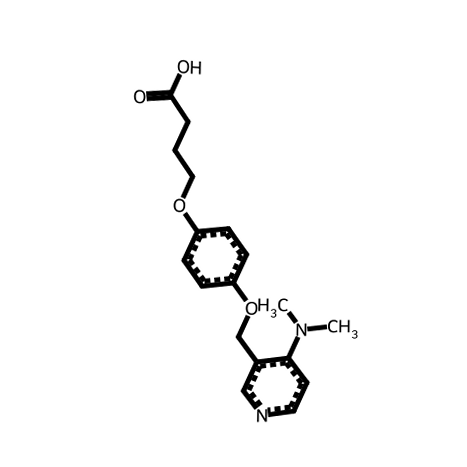 CN(C)c1ccncc1COc1ccc(OCCCC(=O)O)cc1